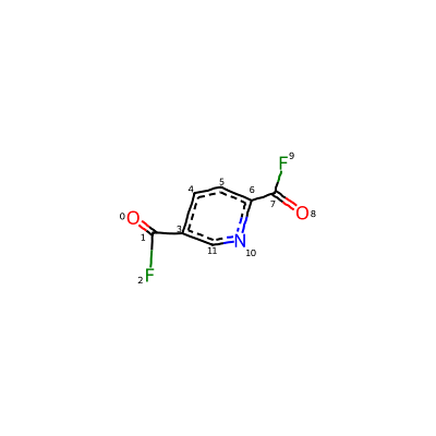 O=C(F)c1ccc(C(=O)F)nc1